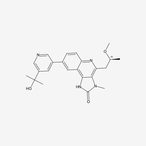 CO[C@@H](C)Cc1nc2ccc(-c3cncc(C(C)(C)O)c3)cc2c2[nH]c(=O)n(C)c12